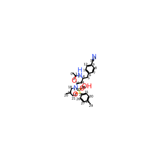 CC(=O)NC(Cc1ccc(C#N)cc1)[C@H](O)CN(CC(C)C)S(=O)(=O)c1ccc(C)cc1